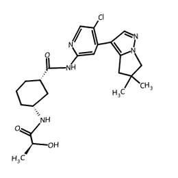 C[C@H](O)C(=O)N[C@@H]1CCC[C@H](C(=O)Nc2cc(-c3cnn4c3CC(C)(C)C4)c(Cl)cn2)C1